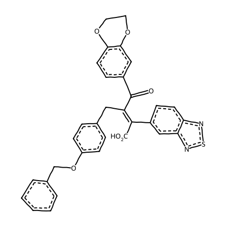 O=C(O)/C(=C(\Cc1ccc(OCc2ccccc2)cc1)C(=O)c1ccc2c(c1)OCCO2)c1ccc2nsnc2c1